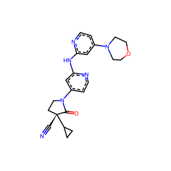 N#C[C@@]1(C2CC2)CCN(c2ccnc(Nc3cc(N4CCOCC4)ccn3)c2)C1=O